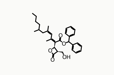 CCCCC(C)CC(C)=CC(C)=C(C(=O)OC(c1ccccc1)c1ccccc1)[C@@H]1OC(=O)[C@@H]1CO